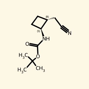 CC(C)(C)OC(=O)N[C@H]1CC[C@@H]1CC#N